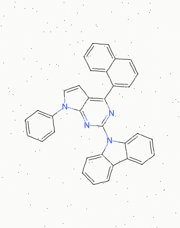 c1ccc(-n2ccc3c(-c4cccc5ccccc45)nc(-n4c5ccccc5c5ccccc54)nc32)cc1